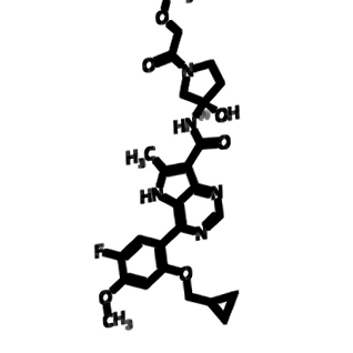 COCC(=O)N1CC[C@](O)(NC(=O)c2c(C)[nH]c3c(-c4cc(F)c(OC)cc4OCC4CC4)ncnc23)C1